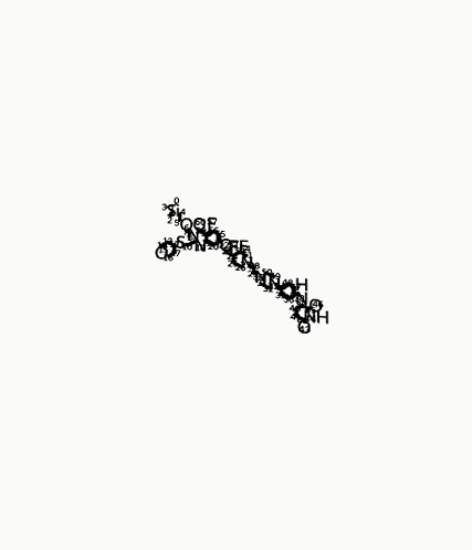 C[Si](C)(C)CCOCn1c(CSC2CCOCC2)nc2cc(OCC3CCN(CCN4CCN(c5ccc(NC6CCC(=O)NC6=O)cc5)CC4)CC3(F)F)cc(F)c2c1=O